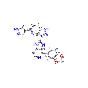 c1cc2[nH]c(-c3n[nH]c4ccc(-c5cn[nH]c5)nc34)nc2c(-c2ccc3c(c2)OCO3)n1